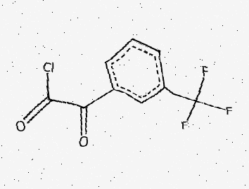 O=C(Cl)C(=O)c1cccc(C(F)(F)F)c1